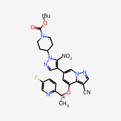 C[C@@H](Oc1cc(-c2cnn(C3CCN(C(=O)OC(C)(C)C)CC3)c2[N+](=O)[O-])cn2ncc(C#N)c12)c1ccc(F)cn1